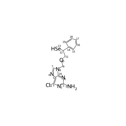 Nc1nc(Cl)c2ncn(COCC([SeH])c3ccccc3)c2n1